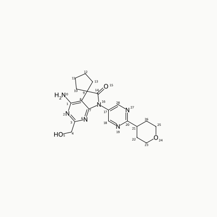 Nc1nc(CO)nc2c1C1(CCCC1)C(=O)N2c1cnc(C2CCOCC2)nc1